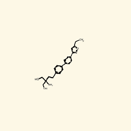 CCc1cc(-c2ccc(-c3ccc(CCC(N)(CO)CO)cc3)cc2)no1